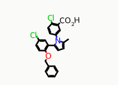 Cc1ccc(-c2cc(Cl)ccc2OCc2ccccc2)n1-c1ccc(Cl)c(C(=O)O)c1